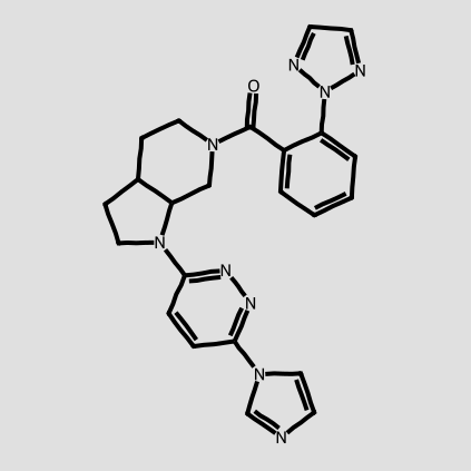 O=C(c1ccccc1-n1nccn1)N1CCC2CCN(c3ccc(-n4ccnc4)nn3)C2C1